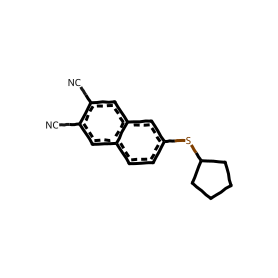 N#Cc1cc2ccc(SC3CCCC3)cc2cc1C#N